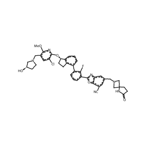 COc1nc(O[C@@H]2CCc3c(-c4cccc(-c5nc6cc(CN7CC8(CCC(=O)N8)C7)cc(C#N)c6o5)c4F)cccc32)c(Cl)cc1CN1CC[C@@H](O)C1